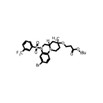 CC(C)(C)OC(=O)CCO[C@]1(C)CCN2c3ccc(Br)cc3N(S(=O)(=O)c3cccc(C(F)(F)F)c3)C[C@@H]2C1